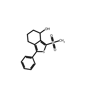 CS(=O)(=O)c1sc(-c2ccccc2)c2c1C(O)CCC2